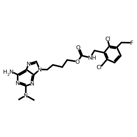 CN(C)c1nc(N)c2ncn(CCCCOC(=O)NCc3c(Cl)ccc(CF)c3Cl)c2n1